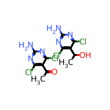 CC(=O)c1c(Cl)nc(N)nc1Cl.CC(O)c1c(Cl)nc(N)nc1Cl